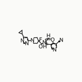 N#Cc1cncc2c1O[C@H]1C[C@@H]2N(C(=O)C2(F)CCN(c3cc(C4CC4)ncn3)CC2)C1